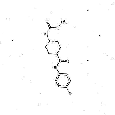 CCCCOC(=O)NC1CCN(C(=O)Nc2ccc(Br)cc2)CC1